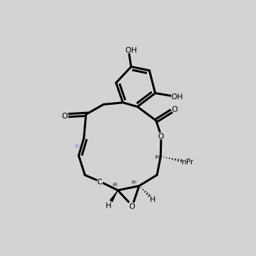 CCC[C@@H]1C[C@H]2O[C@@H]2CC/C=C/C(=O)Cc2cc(O)cc(O)c2C(=O)O1